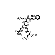 N=C(N)NCCC[C@H](NC(=O)[C@H](CCN)NC(=O)[C@H](N)Cc1ccccc1)C(=O)NCC(=O)N[C@@H](CC(=O)O)C(=O)O